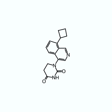 O=C1CCN(c2cncc3c(C4CCC4)cccc23)C(=O)N1